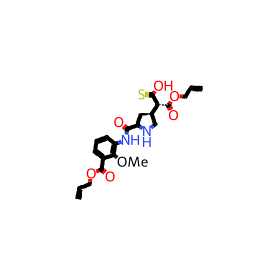 C=CCOC(=O)c1cccc(NC(=O)C2C[C@@H]([C@@H](C(=O)OCC=C)C(O)=S)CN2)c1OC